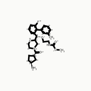 COC(=O)NCCO[C@@H](c1cccc(F)c1-c1cccc(C)c1)C1CN(C(=O)[C@@H]2CC[C@H](N)C2)CCO1